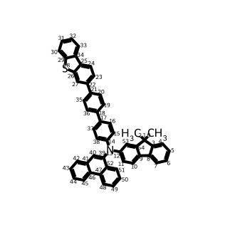 CC1(C)c2ccccc2-c2ccc(N(c3ccc(-c4ccc(-c5ccc6c(c5)sc5ccccc56)cc4)cc3)c3cc4ccccc4c4ccccc34)cc21